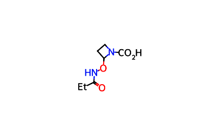 CCC(=O)NOC1CCN1C(=O)O